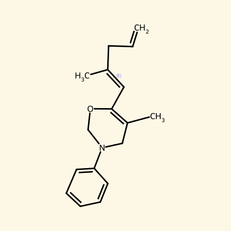 C=CC/C(C)=C/C1=C(C)CN(c2ccccc2)CO1